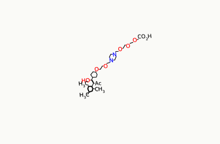 CC(=O)/C(=C(/O)C1CCC(OCCOCCN2CCN(CCOCCOCCOCC(=O)O)CC2)CC1)c1c(C)cc(C)cc1C